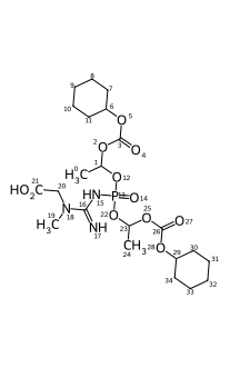 CC(OC(=O)OC1CCCCC1)OP(=O)(NC(=N)N(C)CC(=O)O)OC(C)OC(=O)OC1CCCCC1